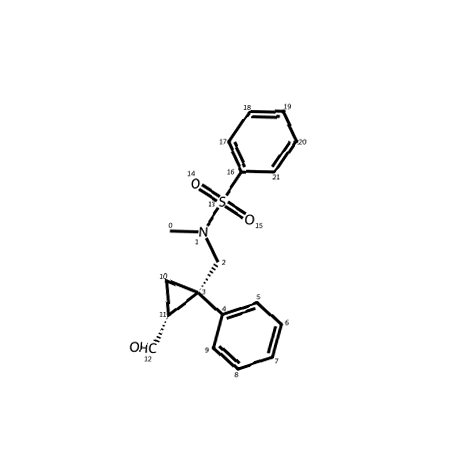 CN(C[C@@]1(c2ccccc2)C[C@H]1C=O)S(=O)(=O)c1ccccc1